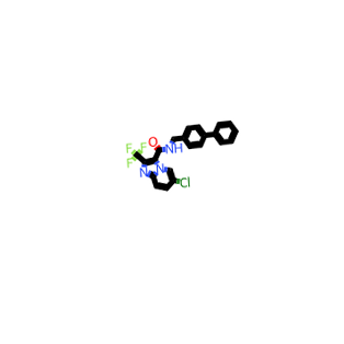 O=C(NCc1ccc(-c2ccccc2)cc1)c1c(C(F)(F)F)nc2ccc(Cl)cn12